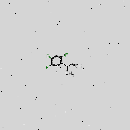 C=C[C](C)c1cc(F)c(F)cc1F